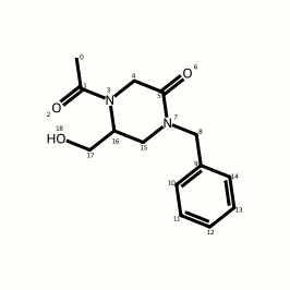 CC(=O)N1CC(=O)N(Cc2ccccc2)CC1CO